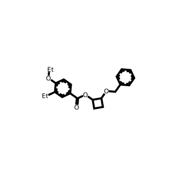 CCOc1ccc(C(=O)OC2CCC2OCc2ccccc2)cc1CC